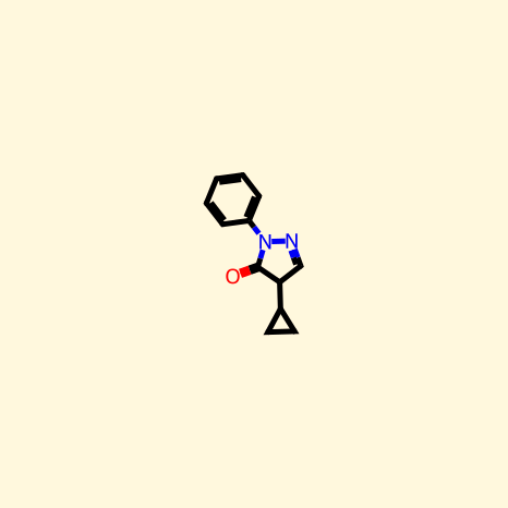 O=C1C(C2CC2)C=NN1c1ccccc1